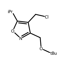 CC(C)c1onc(COC(C)(C)C)c1CCl